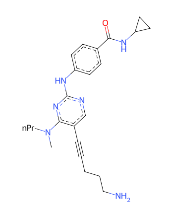 CCCN(C)c1nc(Nc2ccc(C(=O)NC3CC3)cc2)ncc1C#CCCCN